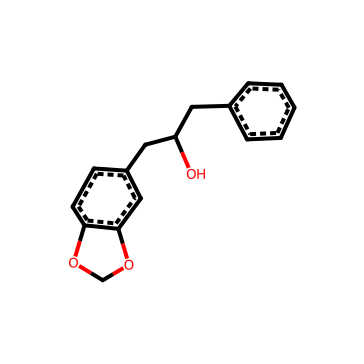 OC(Cc1ccccc1)Cc1ccc2c(c1)OCO2